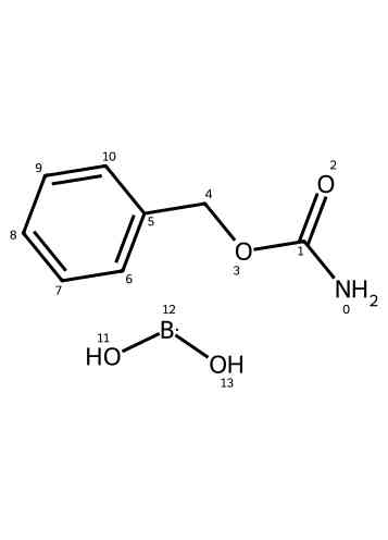 NC(=O)OCc1ccccc1.O[B]O